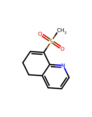 CS(=O)(=O)C1=CCCc2cccnc21